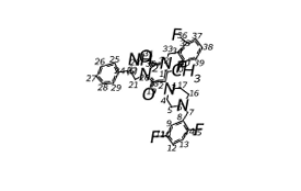 Cc1c(N2CCN(Cc3cc(F)ccc3F)CC2)c(=O)n(C[C@@H](N)c2ccccc2)c(=O)n1Cc1c(F)cccc1F